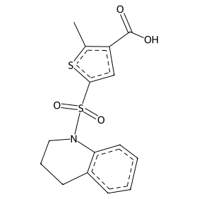 Cc1sc(S(=O)(=O)N2CCCc3ccccc32)cc1C(=O)O